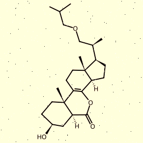 CC(C)COC[C@@H](C)[C@H]1CC[C@H]2C3=C(CC[C@]12C)[C@@]1(C)CC[C@H](O)C[C@@H]1C(=O)O3